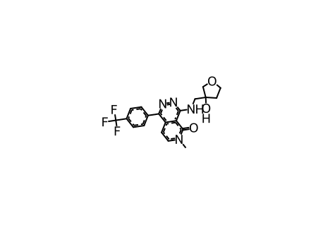 Cn1ccc2c(-c3ccc(C(F)(F)F)cc3)nnc(NCC3(O)CCOC3)c2c1=O